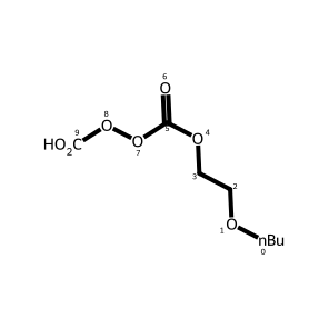 CCCCOCCOC(=O)OOC(=O)O